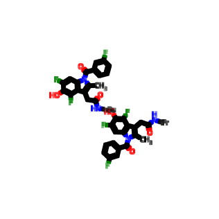 CCCCNC(=O)Cc1c(C)n(C(=O)c2cccc(F)c2)c2cc(F)c(O)c(F)c12.Cc1c(CC(=O)NC(C)C)c2c(F)c(O)c(F)cc2n1C(=O)c1cccc(F)c1